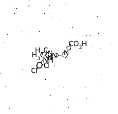 Cc1nc(N2CC(C3CCCN(C4CC(C(=O)O)C4)C3)C2)nc(NCc2ccc(Cl)cc2Cl)c1C